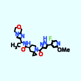 COc1cc(-c2cc(C(=O)N3CC[C@H](C(=O)N[C@H](C)c4cn5c(n4)COCC5)CC34CC4)n[nH]2)c(F)cn1